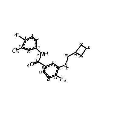 O=C(Nc1ccc(F)c(Cl)c1)c1ccc(F)c(SCC2CCC2)c1